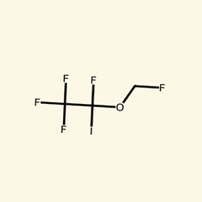 FCOC(F)(I)C(F)(F)F